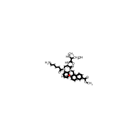 CNC(C)C(=O)N[C@H]1CN(C(=O)CCCCN)c2ccccc2N(Cc2c(OC)ccc3cc(C(=O)OC)ccc23)C1=O.Cl